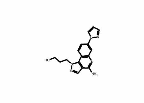 Nc1nc2cc(-n3cccn3)ccc2c2c1cnn2CCCO